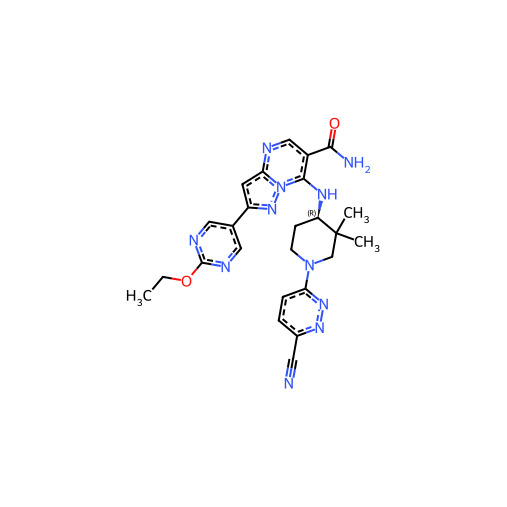 CCOc1ncc(-c2cc3ncc(C(N)=O)c(N[C@@H]4CCN(c5ccc(C#N)nn5)CC4(C)C)n3n2)cn1